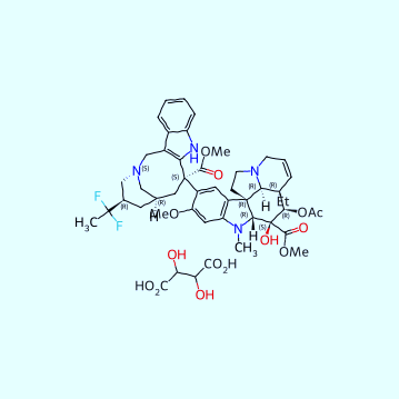 CC[C@]12C=CCN3CC[C@@]4(c5cc([C@@]6(C(=O)OC)C[C@H]7C[C@@H](C(C)(F)F)C[N@](Cc8c6[nH]c6ccccc86)C7)c(OC)cc5N(C)[C@H]4[C@@](O)(C(=O)OC)[C@@H]1OC(C)=O)[C@@H]32.O=C(O)C(O)C(O)C(=O)O